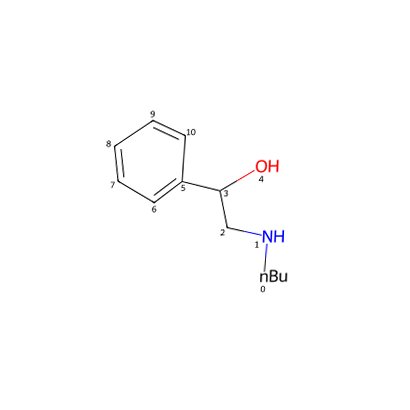 CCCCNCC(O)c1ccccc1